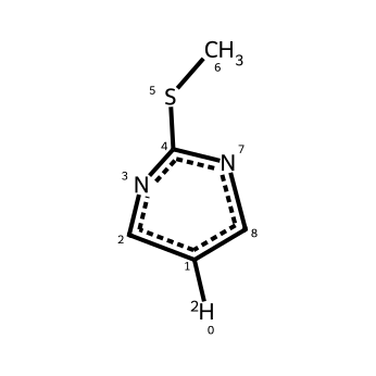 [2H]c1cnc(SC)nc1